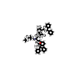 CC(C)(C)OC(=O)C(C)(C)O/N=C(\C(=O)NC1C(=O)N2C(C(=O)OC(c3ccccc3)c3ccccc3)=C(S)CS[C@@H]12)c1csc(NC(c2ccccc2)(c2ccccc2)c2ccccc2)n1